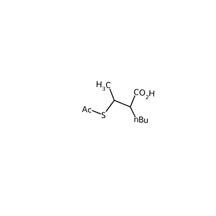 CCCCC(C(=O)O)C(C)SC(C)=O